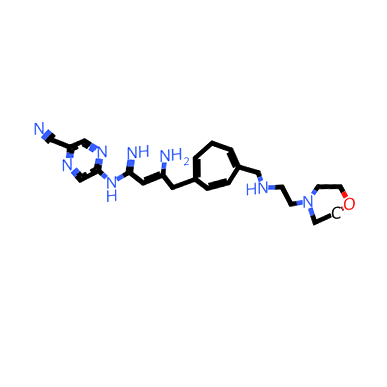 N#Cc1cnc(NC(=N)/C=C(\N)CC2=CCC=C(CNCCN3CCOCC3)C=C2)cn1